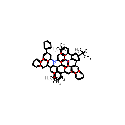 CC(C)(C)c1cc(N(c2cc(-c3ccccc3)cc(-c3ccccc3)c2)c2c(-c3ccccc3)cc(C(C)(C)C)cc2-c2ccccc2)cc(N(c2cc(-c3ccccc3)cc(-c3ccccc3)c2)c2c(-c3ccccc3)cc(C(C)(C)C)cc2-c2ccccc2)c1